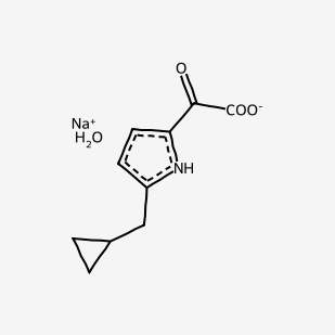 O.O=C([O-])C(=O)c1ccc(CC2CC2)[nH]1.[Na+]